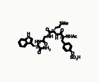 CSCC[C@H](NC(=O)[C@H](Cc1ccc(OS(=O)(=O)O)cc1)NC(C)=O)C(=O)NCC(=O)N[C@@H](Cc1c[nH]c2ccccc12)C(N)=O